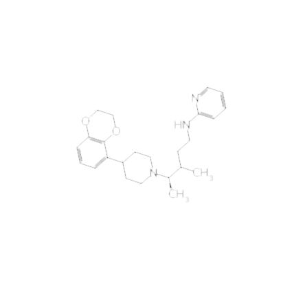 CC(CCNc1ccccn1)[C@@H](C)N1CCC(c2cccc3c2OCCO3)CC1